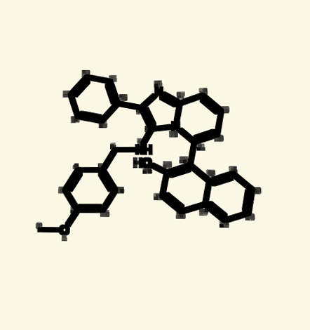 COc1ccc(CNc2c(-c3ccccc3)nc3cccc(-c4c(O)ccc5ccccc45)n23)cc1